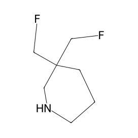 FCC1(CF)CCCNC1